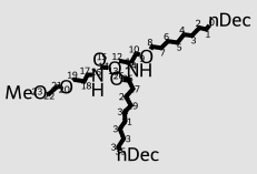 CCCCCCCCCCCCCCCCCCOCC(COC(=O)NCCCOCCOC)NC(=O)CCCCCCCCCCCCCCCCCC